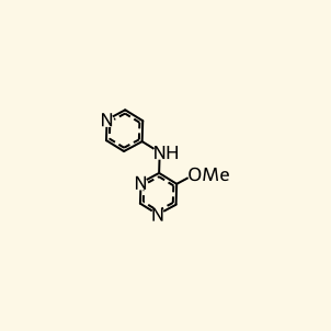 COc1cncnc1Nc1ccncc1